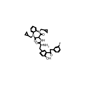 N[C@@H](Cc1ccc(O)c(C(=O)Cc2cccc(F)c2)c1)C(=O)NC1C(=O)N(CC2CC2)c2ccccc2N(CC2CC2)C1=O